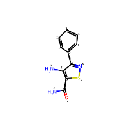 NC(=O)c1snc(-c2ccccc2)c1N